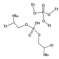 CCCCC(CC)COP(=O)(O)OCC(CC)CCCC.CCOP(=O)(OCC)OCC